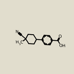 CC1(C#N)CCC(c2ccc(C(=O)O)cc2)CC1